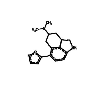 CN(C)C1Cc2c(-c3ccno3)ccc3c2C(CN3)C1